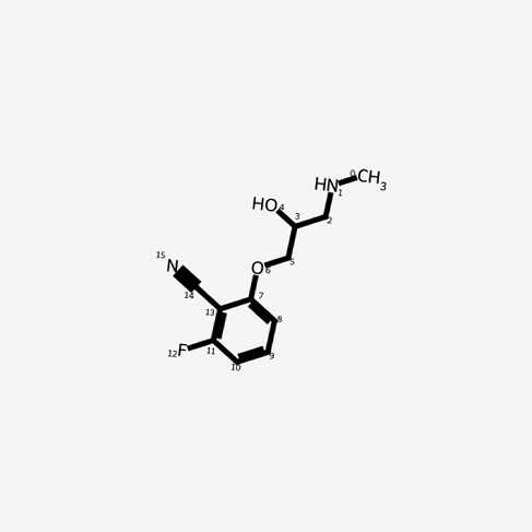 CNCC(O)COc1cccc(F)c1C#N